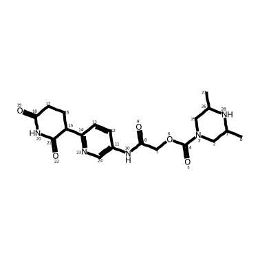 CC1CN(C(=O)OCC(=O)Nc2ccc(C3CCC(=O)NC3=O)nc2)CC(C)N1